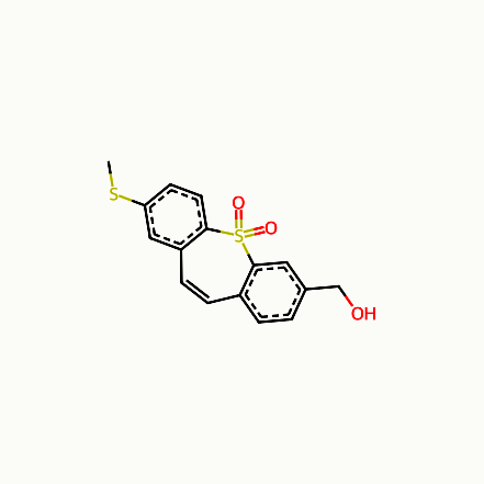 CSc1ccc2c(c1)C=Cc1ccc(CO)cc1S2(=O)=O